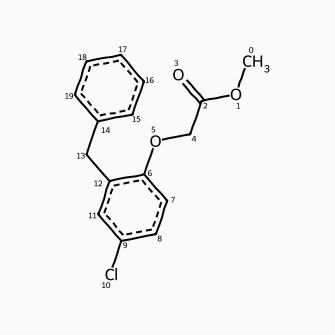 COC(=O)COc1ccc(Cl)cc1Cc1ccccc1